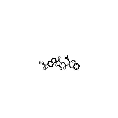 C[C@@H](C1CC1)N(Cc1ccccc1)C(=O)CN1C(=O)OC2(CCc3cc(B(O)O)ccc32)C1=O